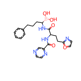 O=C(NC(CCc1ncco1)C(=O)NC(CCCc1ccccc1)B(O)O)c1cnccn1